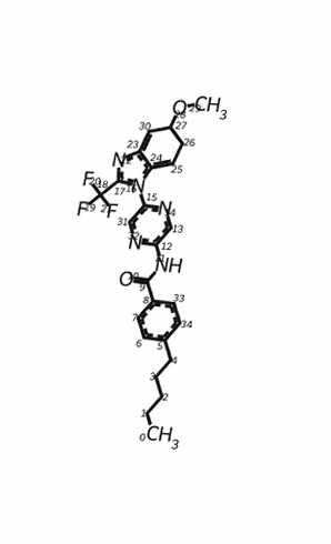 CCCCCc1ccc(C(=O)Nc2cnc(-n3c(C(F)(F)F)nc4c3=CCC(OC)C=4)cn2)cc1